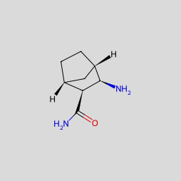 NC(=O)[C@H]1[C@@H]2CC[C@@H](C2)[C@H]1N